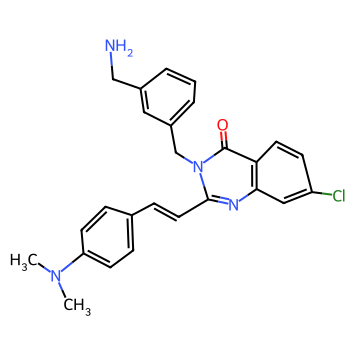 CN(C)c1ccc(/C=C/c2nc3cc(Cl)ccc3c(=O)n2Cc2cccc(CN)c2)cc1